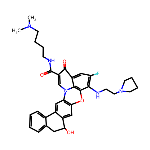 CN(C)CCCCNC(=O)c1cn2c3c(c(NCCN4CCCC4)c(F)cc3c1=O)Oc1cc3c(cc1-2)-c1ccccc1CC3O